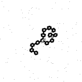 c1ccc(-c2cccc(-c3cccc(-c4ccc(-c5cc(-c6ccc(-c7cccc(-c8cccc(-c9ccccc9)c8)c7)cc6)nc(-c6cccc(-c7cccc(-n8c9ccccc9c9ccccc98)c7)c6)n5)cc4)c3)c2)cc1